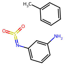 Cc1ccccc1.Nc1cccc(N=S(=O)=O)c1